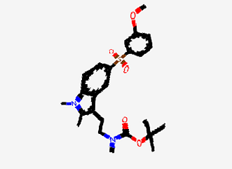 COc1cccc(S(=O)(=O)c2ccc3c(c2)c(CCN(C)C(=O)OC(C)(C)C)c(C)n3C)c1